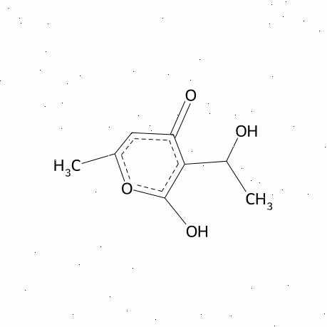 Cc1cc(=O)c(C(C)O)c(O)o1